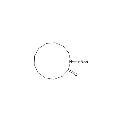 CCCCCCCCCN1CCCCCCCCCCCC1=O